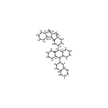 c1ccc2cc(-c3c4ccccc4c(-c4ccc5sc6sc7ccccc7c6c5c4)c4ccccc34)ccc2c1